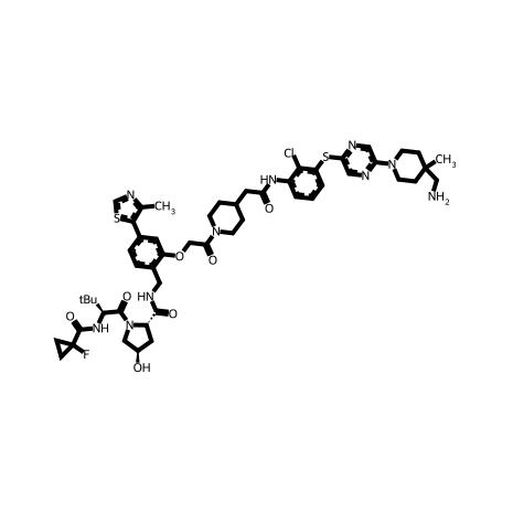 Cc1ncsc1-c1ccc(CNC(=O)[C@@H]2C[C@@H](O)CN2C(=O)[C@@H](NC(=O)C2(F)CC2)C(C)(C)C)c(OCC(=O)N2CCC(CC(=O)Nc3cccc(Sc4cnc(N5CCC(C)(CN)CC5)cn4)c3Cl)CC2)c1